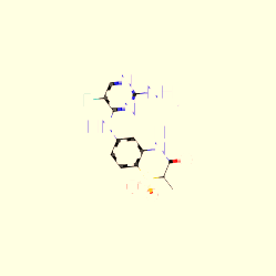 CC1C(=O)Nc2cc(Nc3nc(N)ncc3F)ccc2S1(=O)=O